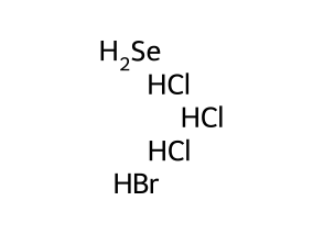 Br.Cl.Cl.Cl.[SeH2]